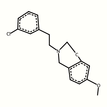 COc1ccc2c(c1)CCN(CCc1cccc(Cl)c1)C2